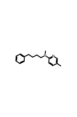 Cc1ccc(N(C)CCCCc2ccccc2)nc1